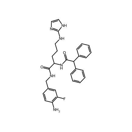 Nc1ccc(CNC(=O)C(CCCNc2ncc[nH]2)NC(=O)C(c2ccccc2)c2ccccc2)cc1F